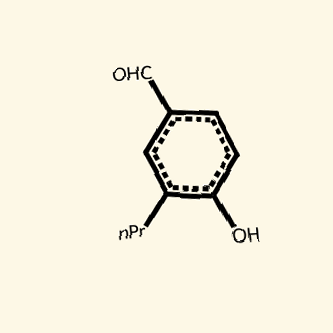 CCCc1cc(C=O)ccc1O